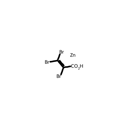 O=C(O)C(Br)=C(Br)Br.[Zn]